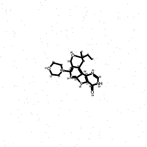 CCC1(C)Cc2c(c(N3CCOCC3)nc3sc4c(=O)[nH]cnc4c23)CO1